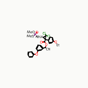 CCOc1ccc(C2(C(=O)OC(C#N)c3cccc(Oc4ccccc4)c3)CC2(Cl)Cl)cc1.COP(=O)(NC(C)=O)SC